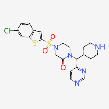 O=C1CN(S(=O)(=O)c2cc3ccc(Cl)cc3s2)CCN1C(c1ccncn1)C1CCNCC1